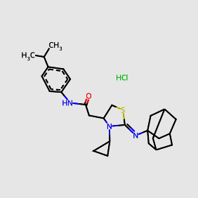 CC(C)c1ccc(NC(=O)CC2CSC(=NC34CC5CC(CC(C5)C3)C4)N2C2CC2)cc1.Cl